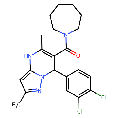 CC1=C(C(=O)N2CCCCCC2)C(c2ccc(Cl)c(Cl)c2)n2nc(C(F)(F)F)cc2N1